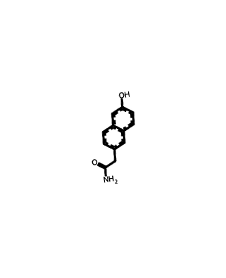 NC(=O)Cc1ccc2cc(O)ccc2c1